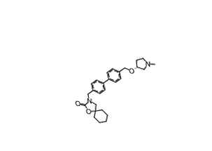 CN1CC[C@@H](OCc2ccc(-c3ccc(CN4CC5(CCCCC5)OC4=O)cc3)cc2)C1